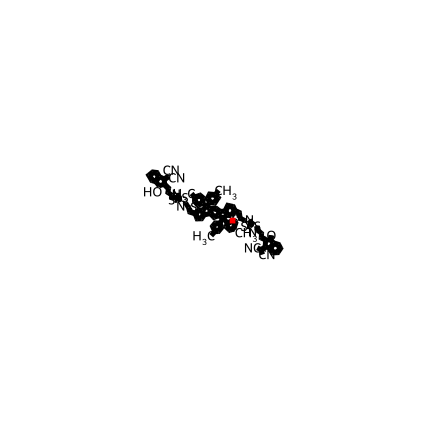 Cc1ccc(C2(c3ccc(C)cc3)c3cc4c(cc3-c3ccc5cc(-c6nc7sc(C/C=C8\C(=O)c9ccccc9C8=C(C#N)C#N)nc7s6)sc5c32)C(c2ccc(C)cc2)(c2ccc(C)cc2)c2c-4ccc3cc(-c4nc5sc(C/C=C6/C(=C(C#N)C#N)c7ccccc7C6O)nc5s4)sc23)cc1